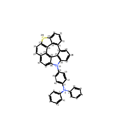 c1ccc(N(c2ccccc2)c2ccc(-n3c4cccc5c4c4c6c(ccc7sc8cccc-5c8c76)ccc43)cc2)cc1